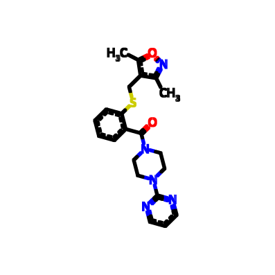 Cc1noc(C)c1CSc1ccccc1C(=O)N1CCN(c2ncccn2)CC1